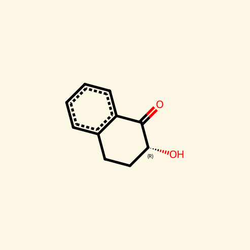 O=C1c2ccccc2CC[C@H]1O